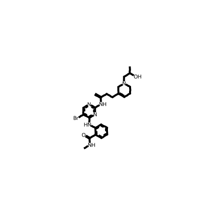 C=C(CCC1=CCCN(CC(C)O)C1)Nc1ncc(Br)c(Nc2ccccc2C(=O)NC)n1